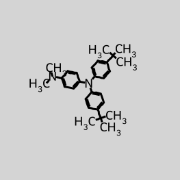 CN(C)c1ccc(N(c2ccc(C(C)(C)C)cc2)c2ccc(C(C)(C)C)cc2)cc1